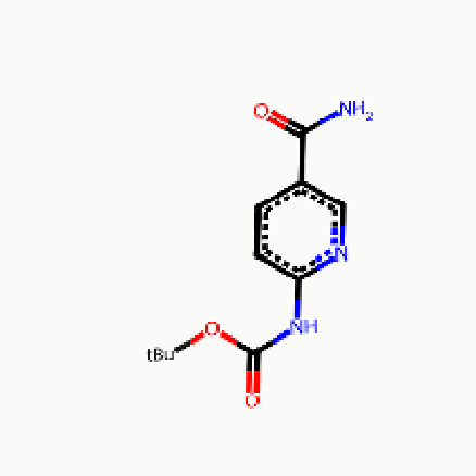 CC(C)(C)OC(=O)Nc1ccc(C(N)=O)cn1